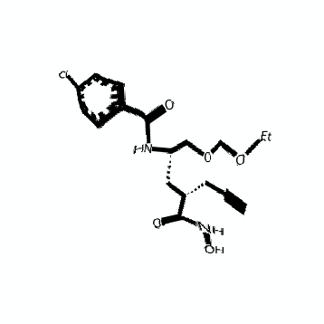 C#CC[C@@H](C[C@@H](COCOCC)NC(=O)c1ccc(Cl)cc1)C(=O)NO